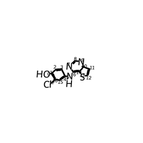 Oc1ccc(Nc2ncnc3ccsc23)cc1Cl